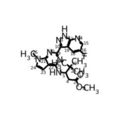 COC(=O)CC(Nc1nc(-c2n[nH]c3ncc(F)cc23)nc2c1ccn2C)C(C)(C)C